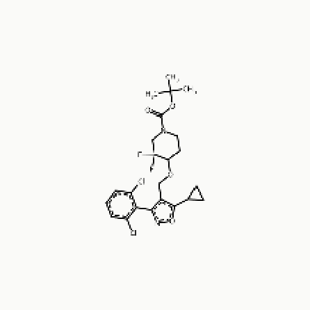 CC(C)(C)OC(=O)N1CCC(OCc2c(-c3c(Cl)cccc3Cl)noc2C2CC2)C(F)(F)C1